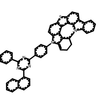 C1=c2c3c(n4c5ccccc5c5ccc6sc7ccc(c3c7c6c54)n2-c2ccc(-c3nc(-c4ccccc4)nc(-c4cccc5ccccc45)n3)cc2)CC1